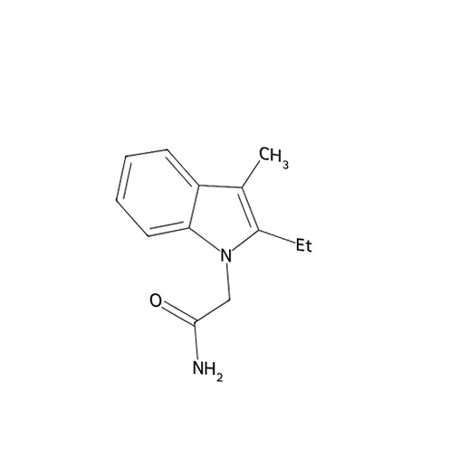 CCc1c(C)c2ccccc2n1CC(N)=O